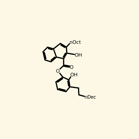 CCCCCCCCCCCCc1cccc(OC(=O)c2c(O)c(CCCCCCCC)cc3ccccc23)c1O